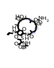 C=CCNC1=C2C[C@@H](C)C[C@H](OC)[C@H](O)[C@@H](C)/C=C(\C)[C@H](OC(N)=O)[C@@H](OC)/C=C\C=C(/C)C(=O)NC(=C(SC(C)C(NC(C)=O)C(=O)O)C1=O)C2=O